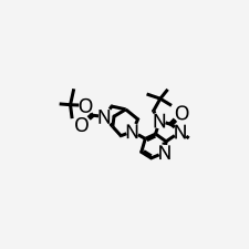 Cn1c(=O)n(CC(C)(C)C)c2c(N3CC4CC(C3)N(C(=O)OC(C)(C)C)C4)ccnc21